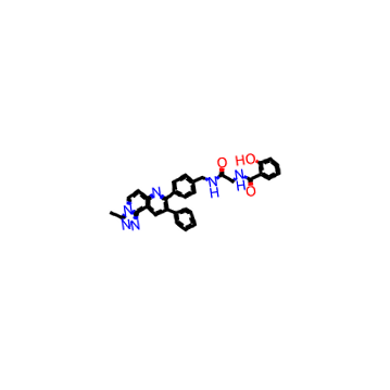 Cc1nnc2c3cc(-c4ccccc4)c(-c4ccc(CNC(=O)CNC(=O)c5ccccc5O)cc4)nc3ccn12